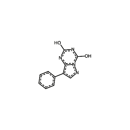 Oc1nc(O)n2ncc(-c3ccccc3)c2n1